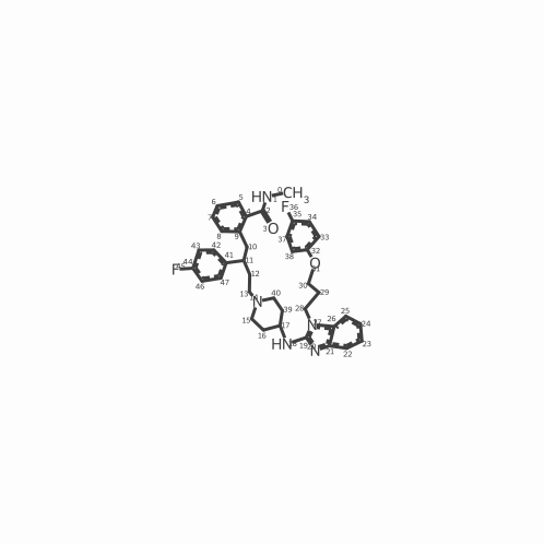 CNC(=O)c1ccccc1CC(CCN1CCC(Nc2nc3ccccc3n2CCCOc2ccc(F)cc2)CC1)c1ccc(F)cc1